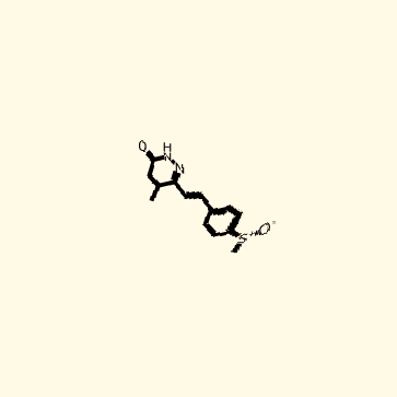 CC1CC(=O)NN=C1C=Cc1ccc([S+](C)[O-])cc1